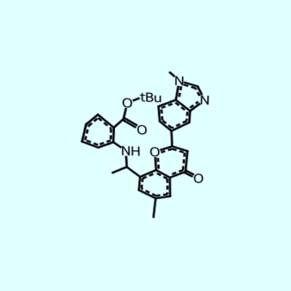 Cc1cc(C(C)Nc2ccccc2C(=O)OC(C)(C)C)c2oc(-c3ccc4c(c3)ncn4C)cc(=O)c2c1